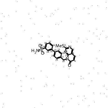 CSc1ncc2ccc(=O)n(Cc3ccc(-c4cccc(S(N)(=O)=O)c4)cc3)c2n1